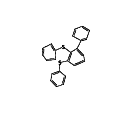 c1ccc(Sc2cccc(-c3ccccc3)c2Sc2ccccc2)cc1